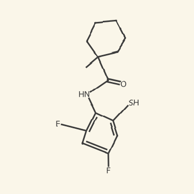 CC1(C(=O)Nc2c(F)cc(F)cc2S)CCCCC1